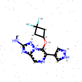 CNc1nc2cnc(-c3cn[nH]c3)c(OC3CC(F)(F)C3)n2n1